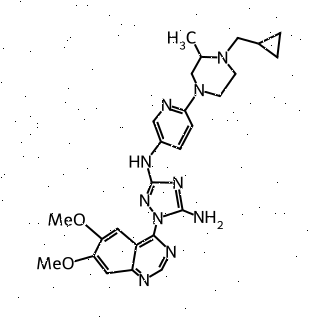 COc1cc2ncnc(-n3nc(Nc4ccc(N5CCN(CC6CC6)C(C)C5)nc4)nc3N)c2cc1OC